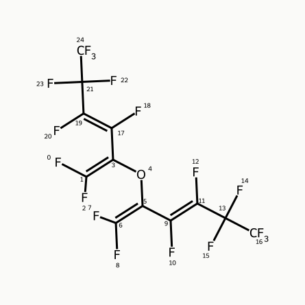 FC(F)=C(OC(=C(F)F)C(F)=C(F)C(F)(F)C(F)(F)F)C(F)=C(F)C(F)(F)C(F)(F)F